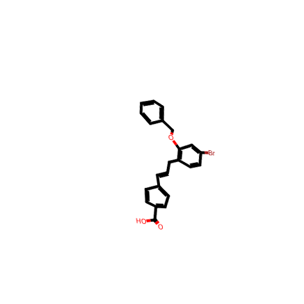 O=C(O)c1ccc(C=CCc2ccc(Br)cc2OCc2ccccc2)cc1